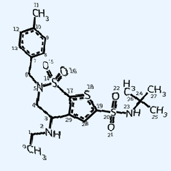 CCNC1CN(Cc2ccc(C)cc2)S(=O)(=O)c2sc(S(=O)(=O)NC(C)(C)C)cc21